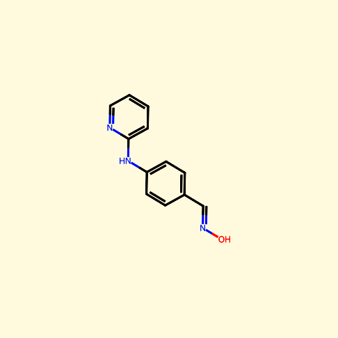 O/N=C/c1ccc(Nc2ccccn2)cc1